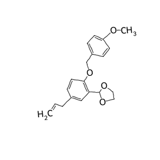 C=CCc1ccc(OCc2ccc(OC)cc2)c(C2OCCO2)c1